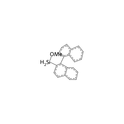 CO[SiH2]c1ccc2ccccc2c1-c1cccc2ccccc12